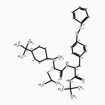 CC(C)C[C@@H](C(=O)N[C@@H](Cc1ccc(OCc2ccccc2)cc1)C(=O)NC(C)(C)C)N(C)C1CCC(C(C)(C)C)CC1